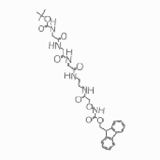 CC(C)(C)OC(=O)NCC(=O)NCC(=O)NCC(=O)NCCNC(=O)CONC(=O)OCC1c2ccccc2-c2ccccc21